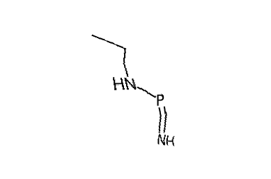 CCNP=N